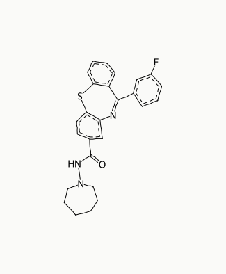 O=C(NN1CCCCCC1)c1ccc2c(c1)N=C(c1cccc(F)c1)c1ccccc1S2